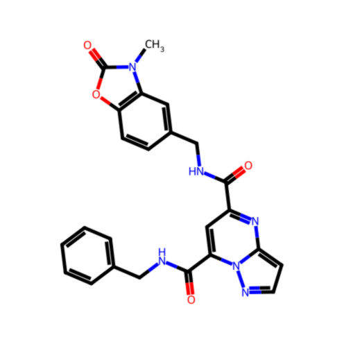 Cn1c(=O)oc2ccc(CNC(=O)c3cc(C(=O)NCc4ccccc4)n4nccc4n3)cc21